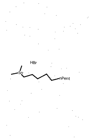 Br.CCCCCCCCC[CH2][Sn]([CH3])[CH3]